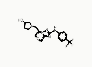 O[C@@H]1CCN(Cc2cccc3nc(Nc4ccc(C(F)(F)F)cc4)nn23)C1